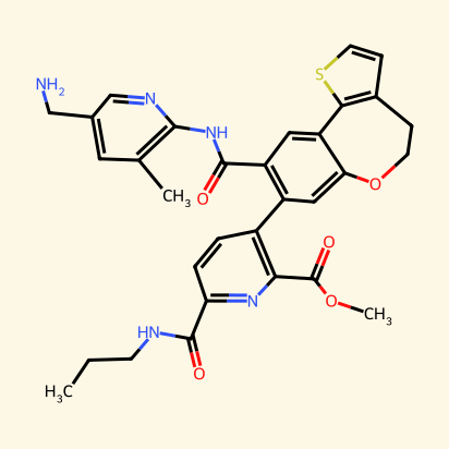 CCCNC(=O)c1ccc(-c2cc3c(cc2C(=O)Nc2ncc(CN)cc2C)-c2sccc2CCO3)c(C(=O)OC)n1